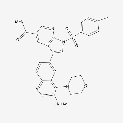 CNC(=O)c1cnc2c(c1)c(-c1ccc3ncc(NC(C)=O)c(N4CCOCC4)c3c1)cn2S(=O)(=O)c1ccc(C)cc1